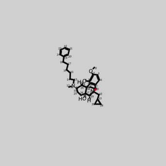 COc1ccc2c3c1O[C@H]1[C@@H](N(C)CCCCCCc4ccccc4)CC[C@@]4(O)[C@@H](C2)N(CC2CC2)CC[C@]314